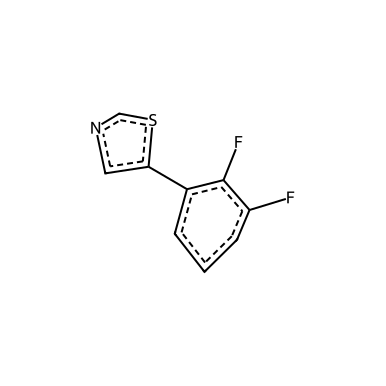 Fc1cccc(-c2cncs2)c1F